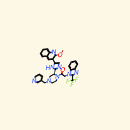 COc1nc2ccccc2cc1-c1cnc([C@@H]2CN(Cc3cccnc3)CCN2C(=O)Cn2c(C(F)(F)F)nc3ccccc32)[nH]1